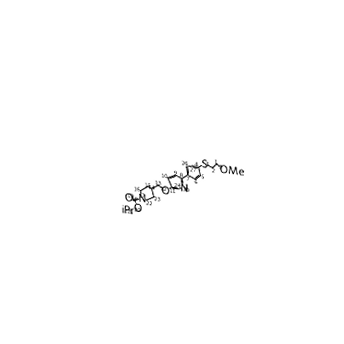 COCCSc1ccc(-c2ccc(OCC3CCN(C(=O)OC(C)C)CC3)cn2)cc1